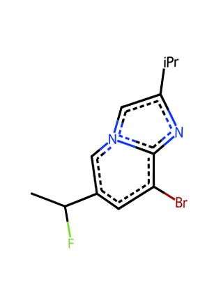 CC(C)c1cn2cc(C(C)F)cc(Br)c2n1